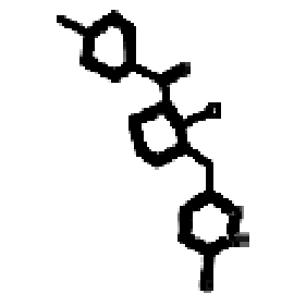 Cc1ccc(C(=S)c2cccc(Cc3ccc(=O)[nH]n3)c2Cl)cc1